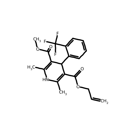 C=CCOC(=O)C1=C(C)NC(C)=C(C(=O)OC)C1c1ccccc1C(F)(F)F